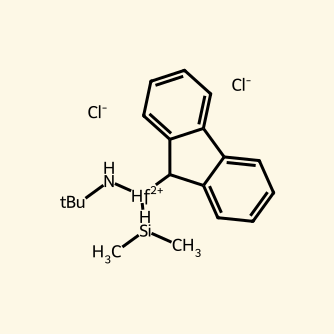 C[SiH](C)[Hf+2]([NH]C(C)(C)C)[CH]1c2ccccc2-c2ccccc21.[Cl-].[Cl-]